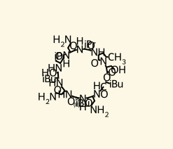 CCC(C)C1CC(=O)NC(CCN)C(=O)N[C@@H]([C@H](C)CC)C(=O)NC(CCN)C(=O)NC(C(C)CC)C(O)NC(CC(C)C)C(=O)NC(CCN)C(=O)NC(C(C)C)C(=O)NC2CC(C)N(C2=O)C(CO)C(=O)O1